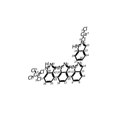 [Cl][Ga+][Cl].[Cl][Ga-]([Cl])([Cl])[Cl].c1ccc2[nH]ncc2c1.c1ccc2[nH]ncc2c1.c1ccc2[nH]ncc2c1.c1ccc2[nH]ncc2c1